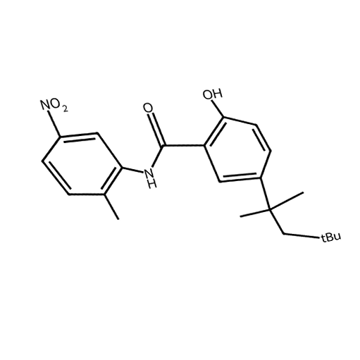 Cc1ccc([N+](=O)[O-])cc1NC(=O)c1cc(C(C)(C)CC(C)(C)C)ccc1O